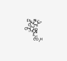 CC[C@H](Oc1cc2onc(CCC(=O)O)c2cc1Cl)c1ccc(C)cn1